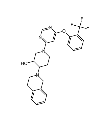 OC1CN(c2cc(Oc3ccccc3C(F)(F)F)ncn2)CCC1N1CCc2ccccc2C1